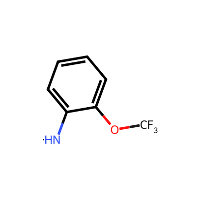 [NH]c1ccccc1OC(F)(F)F